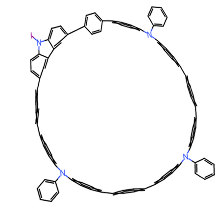 In1c2ccc3cc2c2cc(ccc21)-c1ccc(cc1)-c1ccc(cc1)N(c1ccccc1)c1ccc(cc1)-c1ccc(cc1)-c1ccc(cc1)N(c1ccccc1)c1ccc(cc1)-c1ccc(cc1)-c1ccc(cc1)N(c1ccccc1)c1ccc(cc1)-c1ccc-3cc1